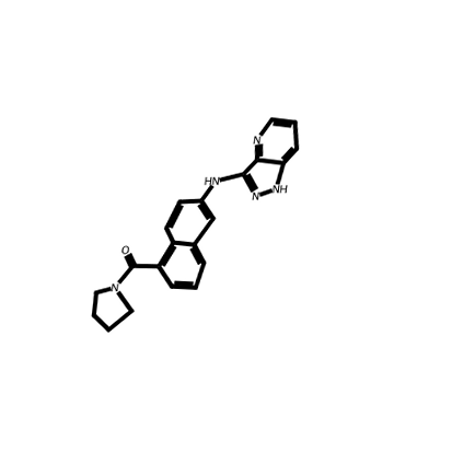 O=C(c1cccc2cc(Nc3n[nH]c4cccnc34)ccc12)N1CCCC1